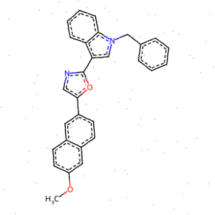 COc1ccc2cc(-c3cnc(-c4cn(Cc5ccccc5)c5ccccc45)o3)ccc2c1